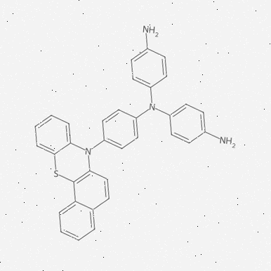 Nc1ccc(N(c2ccc(N)cc2)c2ccc(N3c4ccccc4Sc4c3ccc3ccccc43)cc2)cc1